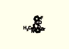 Cc1nc2ccc(Br)cn2c1Cn1c(=O)oc2c(F)cccc21